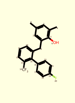 Cc1cc(C)c(O)c(Cc2cccc(C(F)(F)F)c2-c2ccc(F)cc2)c1